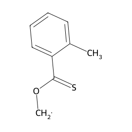 [CH2]OC(=S)c1ccccc1C